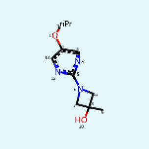 CCCOc1cnc(N2CC(C)(O)C2)nc1